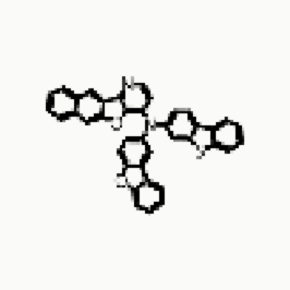 c1ccc2cc3c(cc2c1)oc1c(N(c2ccc4c(c2)sc2ccccc24)c2ccc4oc5ccccc5c4c2)ccnc13